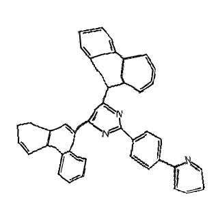 C1=C=CC2C(C=1)c1ccccc1CC2c1cc(C2=CC3CCC=CC3c3ccccc32)nc(-c2ccc(-c3ccccn3)cc2)n1